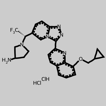 Cl.Cl.NC1CCN([C@@H](c2ccc3nnc(-c4ccc5cccc(OCC6CC6)c5n4)n3c2)C(F)(F)F)C1